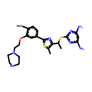 COc1ccc(-c2nc(C(C)Sc3nc(N)cc(N)n3)c(C)s2)cc1OCCN1CCNCC1